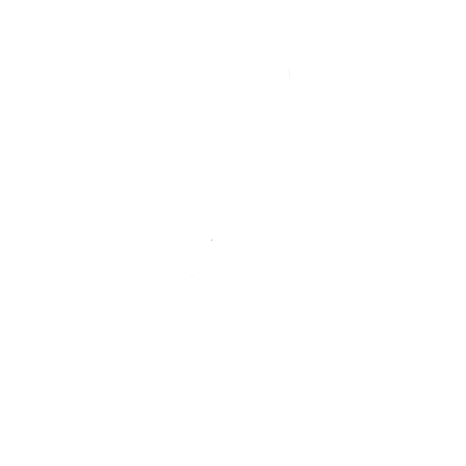 CC(C)(Oc1ccccc1)c1ccc(I)cc1